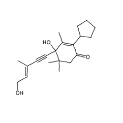 CC(C#CC1(O)C(C)=C(C2CCCC2)C(=O)CC1(C)C)=CCO